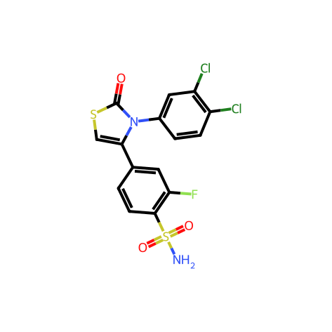 NS(=O)(=O)c1ccc(-c2csc(=O)n2-c2ccc(Cl)c(Cl)c2)cc1F